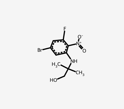 CC(C)(CO)Nc1cc(Br)cc(F)c1[N+](=O)[O-]